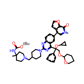 Cn1cc(-c2ccc3nc(N4CCC(CN5CCC(C)(NC(=O)OC(C)(C)C)CC5)CC4)nc(C(COC4CCCCO4)(OC4CC4)c4ccccc4)c3c2)c2ccoc2c1=O